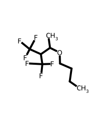 CCCCOC(C)C(C(F)(F)F)C(F)(F)F